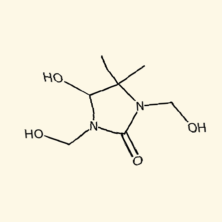 CC1(C)C(O)N(CO)C(=O)N1CO